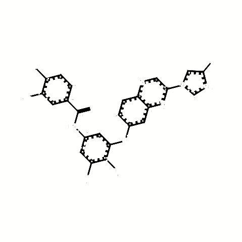 Cc1cn(-c2cnc3ccc(Oc4cc(NC(=O)c5ccc(Cl)c(F)c5)cc(F)c4F)cc3n2)cn1